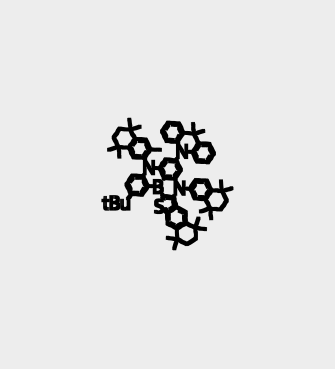 Cc1cc2c(cc1N1c3ccc(C(C)(C)C)cc3B3c4sc5cc6c(cc5c4N(c4ccc5c(c4)C(C)(C)CCC5(C)C)c4cc(N5c7ccccc7C(C)(C)c7ccccc75)cc1c43)C(C)(C)CCC6(C)C)C(C)(C)CCC2(C)C